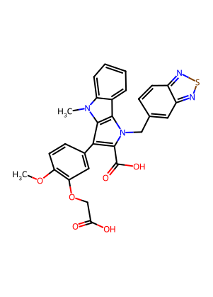 COc1ccc(-c2c(C(=O)O)n(Cc3ccc4nsnc4c3)c3c4ccccc4n(C)c23)cc1OCC(=O)O